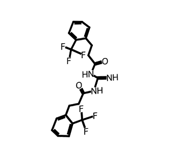 N=C(NC(=O)CCc1ccccc1C(F)(F)F)NC(=O)CCc1ccccc1C(F)(F)F